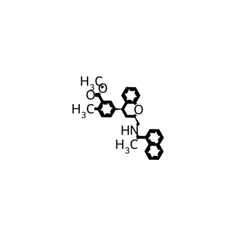 COC(=O)c1cc([C@@H]2C[C@H](CN[C@H](C)c3cccc4ccccc34)Oc3ccccc32)ccc1C